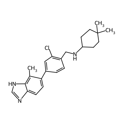 Cc1c(-c2ccc(CNC3CCC(C)(C)CC3)c(Cl)c2)ccc2nc[nH]c12